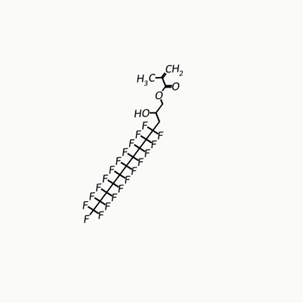 C=C(C)C(=O)OCC(O)CC(F)(F)C(F)(F)C(F)(F)C(F)(F)C(F)(F)C(F)(F)C(F)(F)C(F)(F)C(F)(F)C(F)(F)F